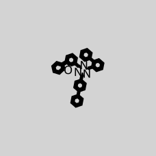 c1ccc(-c2ccc(-c3nc(-c4ccccc4-c4ccccc4)nc(-c4cccc5c4oc4ccccc45)n3)cc2)cc1